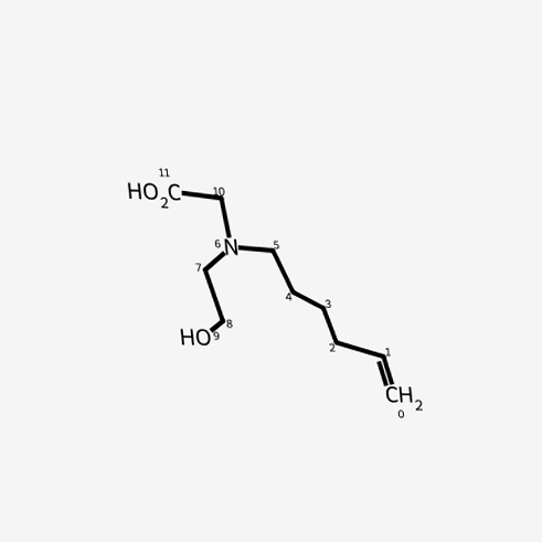 C=CCCCCN(CCO)CC(=O)O